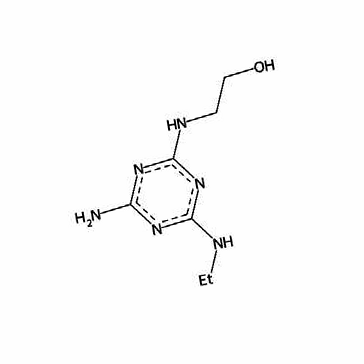 CCNc1nc(N)nc(NCCO)n1